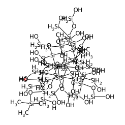 C[SiH](O[Si](C)(C)C)O[Si](O[Si](O[Si](O[Si](C)(C)C)([SiH2]O)[SiH2]O)([Si](O[SiH2]O)([SiH2]O)[SiH2]O)[Si](O[SiH2]O)([SiH2]O)[SiH2]O)([Si](O[Si](O[SiH2]O)([SiH2]O)[SiH2]O)([Si](O[SiH2]O)([SiH2]O)[SiH2]O)[Si](O[SiH2]O)([SiH2]O)[SiH2]O)[Si](O[Si](O[SiH2]O)([SiH2]O)[SiH2]O)([Si](O[SiH2]O)([SiH2]O)[SiH2]O)[Si](O[SiH2]O)([SiH2]O)[SiH2]O